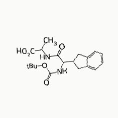 CC(NC(=O)C(NC(=O)OC(C)(C)C)C1Cc2ccccc2C1)C(=O)O